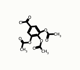 CC(=O)Oc1cc(C(=O)Cl)cc(OC(C)=O)c1OC(C)=O